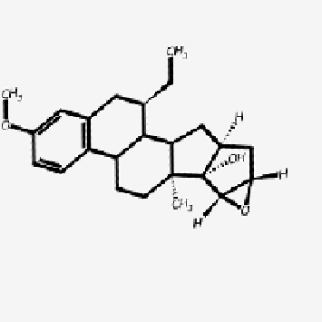 CC[C@@H]1Cc2cc(OC)ccc2C2CC[C@@]3(C)C(C[C@H]4C[C@@H]5O[C@@H]5[C@]43O)C21